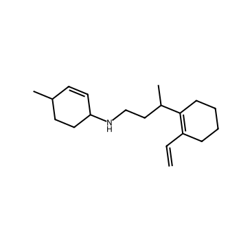 C=CC1=C(C(C)CCNC2C=CC(C)CC2)CCCC1